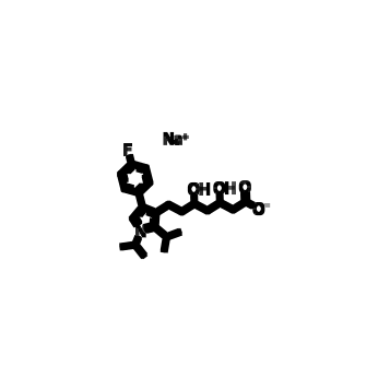 CC(C)c1c(CCC(O)CC(O)CC(=O)[O-])c(-c2ccc(F)cc2)cn1C(C)C.[Na+]